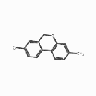 Cc1ccc2c(c1)OCc1cc(Cl)ccc1-2